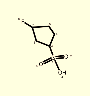 O=S(=O)(O)C1CCC(F)C1